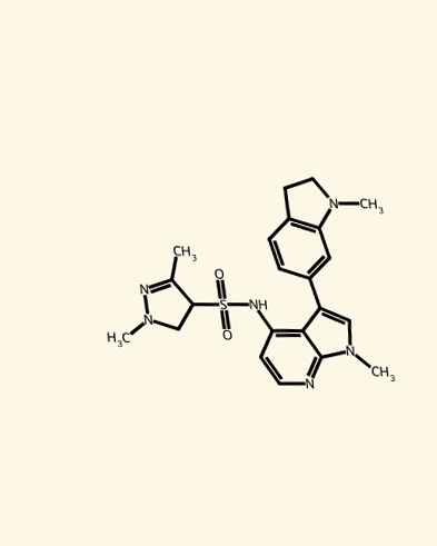 CC1=NN(C)CC1S(=O)(=O)Nc1ccnc2c1c(-c1ccc3c(c1)N(C)CC3)cn2C